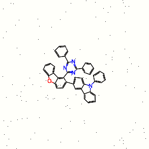 c1ccc(-c2nc(-c3ccccc3)nc(-c3c(-c4ccc5c(c4)c4ccccc4n5-c4ccccc4)ccc4oc5ccccc5c34)n2)cc1